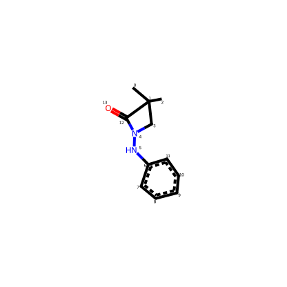 CC1(C)CN(Nc2ccccc2)C1=O